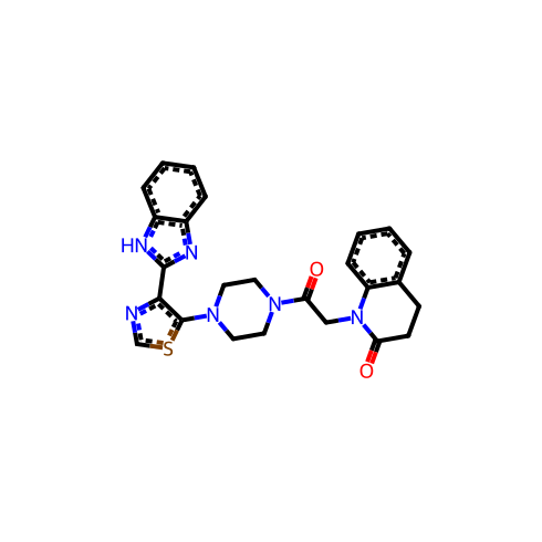 O=C(CN1C(=O)CCc2ccccc21)N1CCN(c2scnc2-c2nc3ccccc3[nH]2)CC1